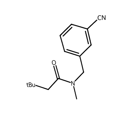 CN(Cc1cccc(C#N)c1)C(=O)CC(C)(C)C